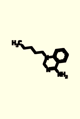 CCCCCN1CN=C(N)c2ccccc21